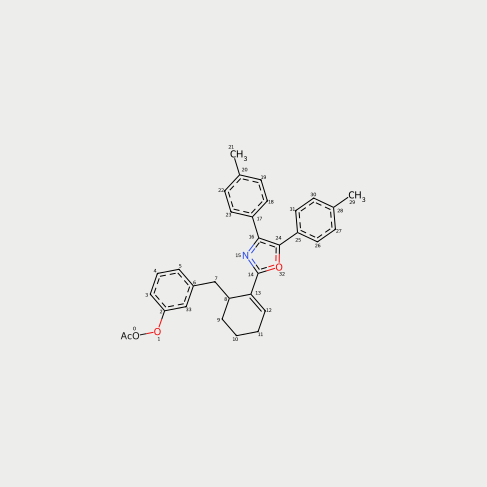 CC(=O)OOc1cccc(CC2CCCC=C2c2nc(-c3ccc(C)cc3)c(-c3ccc(C)cc3)o2)c1